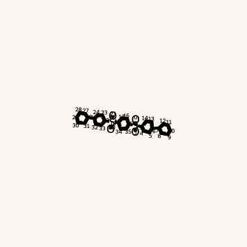 O=S(=O)(c1ccc(-c2ccccc2)cc1)c1ccc(S(=O)(=O)c2ccc(-c3ccccc3)cc2)cc1